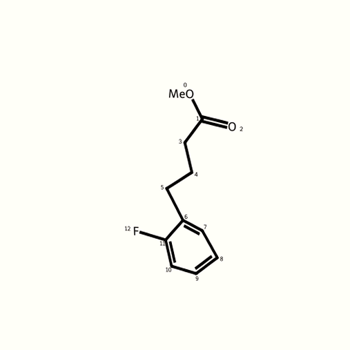 COC(=O)CCCc1ccccc1F